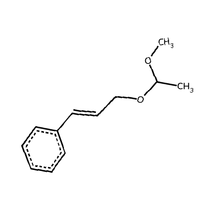 COC(C)OC/C=C/c1ccccc1